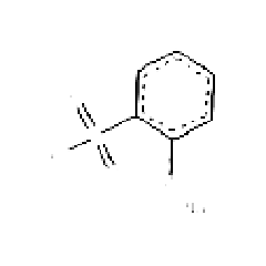 O=S(=O)([O-])c1ccccc1O.[Na+]